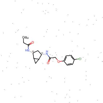 CC(C)COCC(=O)N[C@@H]1C[C@H](NC(=O)COc2ccc(Cl)cc2)C2CC21